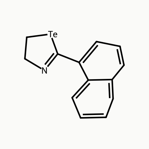 c1ccc2c(C3=NCC[Te]3)cccc2c1